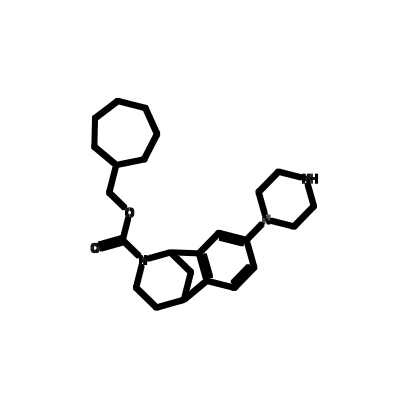 O=C(OCC1CCCCCC1)N1CCC2CC1c1cc(N3CCNCC3)ccc12